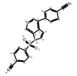 N#Cc1ccc(-c2cncc3c2ccn3S(=O)(=O)c2ccc(C#N)cc2)cc1